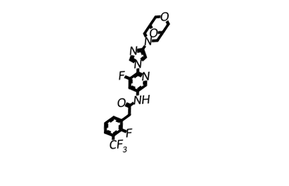 O=C(Cc1cccc(C(F)(F)F)c1F)Nc1cnc(-n2cnc(N3CC4COCC(C3)O4)c2)c(F)c1